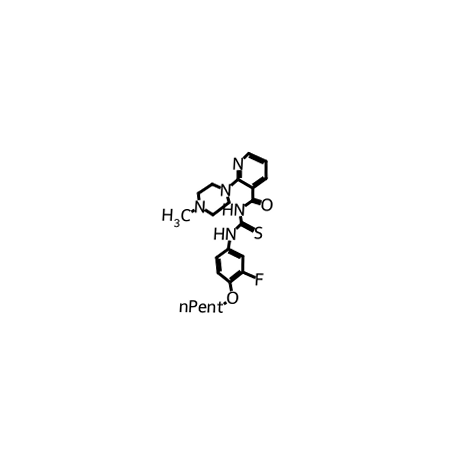 CCCCCOc1ccc(NC(=S)NC(=O)c2cccnc2N2CCN(C)CC2)cc1F